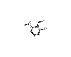 C=Cc1c(F)cccc1OC